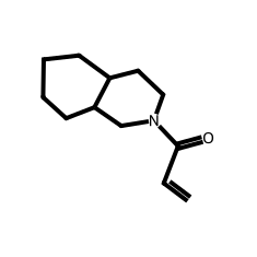 C=CC(=O)N1CCC2CCCCC2C1